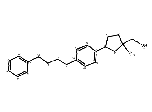 NC1(CO)CCC(c2ccc(CCCCc3ccccc3)cc2)C1